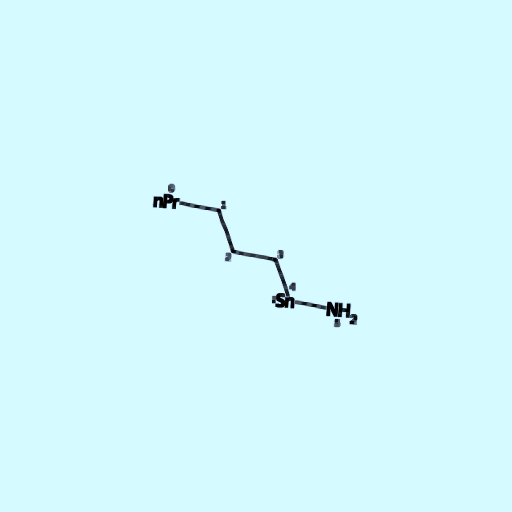 CCCCC[CH2][Sn][NH2]